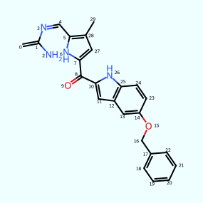 C=C(N)/N=C\c1[nH]c(C(=O)c2cc3cc(OCc4ccccc4)ccc3[nH]2)cc1C